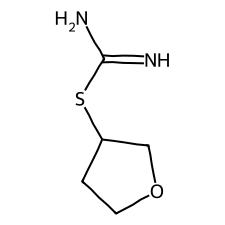 N=C(N)SC1CCOC1